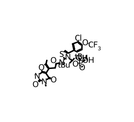 Cc1oc2c(c1CC(=O)N=c1scc(-c3ccc(OC(F)(F)F)c(Cl)c3)n1C(OP(=O)(O)O)(C(C)(C)C)C(C)(C)C)c(=O)n(C)c(=O)n2C